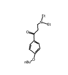 CCCCOc1ccc(C(=O)CCN(CC)CC)cc1